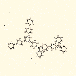 c1ccc(-c2ccc(-c3cc(-c4ccc(-n5c6ccccc6c6cc(-c7ccc8c(c7)c7ccccc7n8-c7ccccc7)ccc65)cc4)cc(-c4ccc(-c5ccccc5)cc4)n3)cc2)cc1